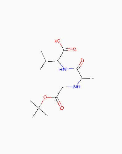 CC(NCC(=O)OC(C)(C)C)C(=O)NC(C(=O)O)C(C)C